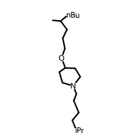 CCCCC(C)CCCOC1CCN(CCCCC(C)C)CC1